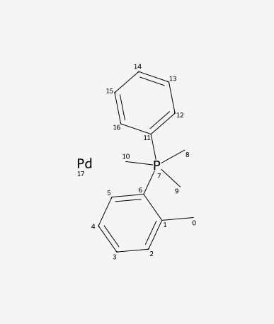 Cc1ccccc1P(C)(C)(C)c1ccccc1.[Pd]